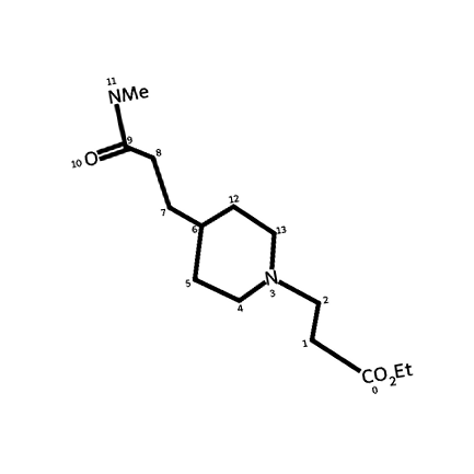 CCOC(=O)CCN1CCC(CCC(=O)NC)CC1